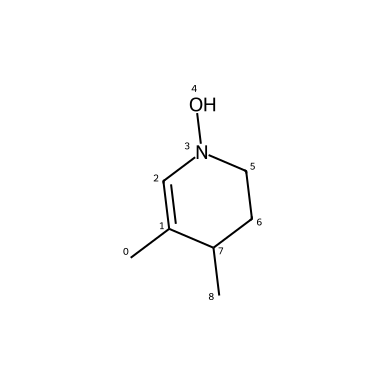 CC1=CN(O)CCC1C